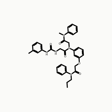 CCCN(C(=O)COc1cccc(N(CC(=O)N(C)c2ccccc2)C(=O)CNC(=O)Nc2cccc(C)c2)c1)c1ccccc1